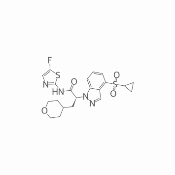 O=C(Nc1ncc(F)s1)[C@H](CC1CCOCC1)n1ncc2c(S(=O)(=O)C3CC3)cccc21